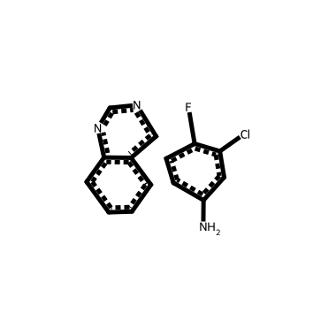 Nc1ccc(F)c(Cl)c1.c1ccc2ncncc2c1